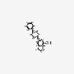 Oc1nc(N2CCN(c3ccccc3)CC2)nc2c1SCC2